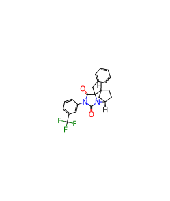 O=C1N(c2cccc(C(F)(F)F)c2)C(=O)C2(Cc3ccccc3)[C@@H]3CC[C@@H](C3)N12